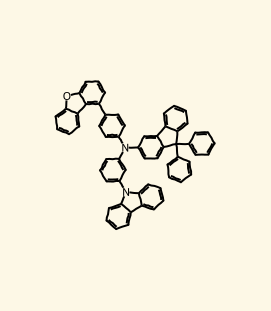 c1ccc(C2(c3ccccc3)c3ccccc3-c3cc(N(c4ccc(-c5cccc6oc7ccccc7c56)cc4)c4cccc(-n5c6ccccc6c6ccccc65)c4)ccc32)cc1